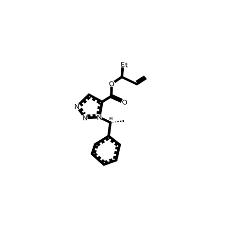 C=CC(CC)OC(=O)c1cnnn1[C@H](C)c1ccccc1